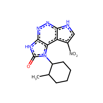 CC1CCCCC1n1c(=O)[nH]c2nnc3[nH]cc([N+](=O)[O-])c3c21